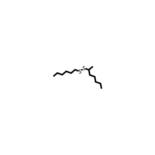 CCCCCCSSC(C)CCCCC